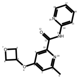 Cc1cc(OC2COC2)cc(C(=O)Nc2ccccn2)n1